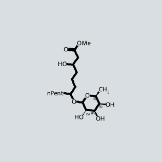 CCCCCC(CCCC(O)CC(=O)OC)OC1O[C@@H](C)[C@@H](O)[C@@H](O)[C@@H]1O